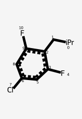 CC(C)Cc1c(F)cc(Cl)cc1F